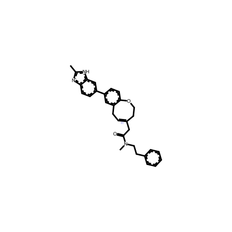 Cc1nc2ccc(-c3ccc4c(c3)C/C=C(/CC(=O)N(C)CCc3ccccc3)CCO4)cc2[nH]1